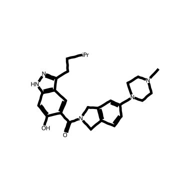 CC(C)CCc1n[nH]c2cc(O)c(C(=O)N3Cc4ccc(N5CCN(C)CC5)cc4C3)cc12